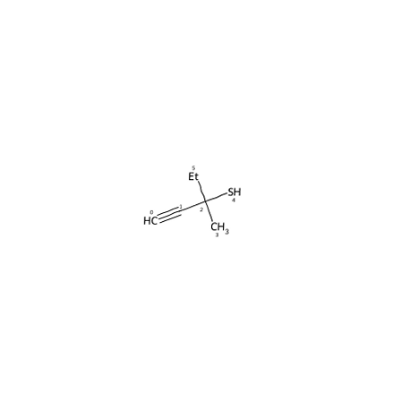 C#CC(C)(S)CC